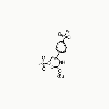 CCS(=O)(=O)c1ccc([C@H](COS(C)(=O)=O)NC(=O)OC(C)(C)C)cc1